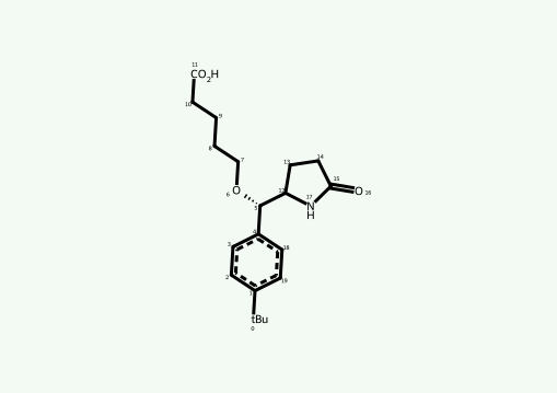 CC(C)(C)c1ccc([C@H](OCCCCC(=O)O)C2CCC(=O)N2)cc1